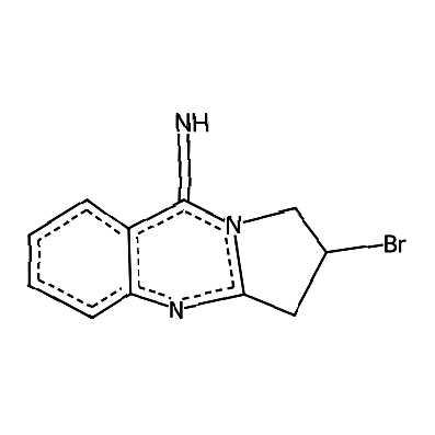 N=c1c2ccccc2nc2n1CC(Br)C2